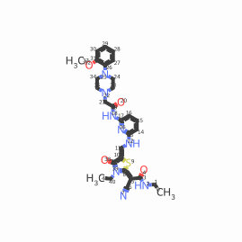 CCNC(=O)C(C#N)=c1sc(=CNc2cccc(NC(=O)CN3CCN(c4ccccc4OC)CC3)n2)c(=O)n1CC